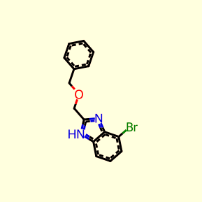 Brc1cccc2[nH]c(COCc3ccccc3)nc12